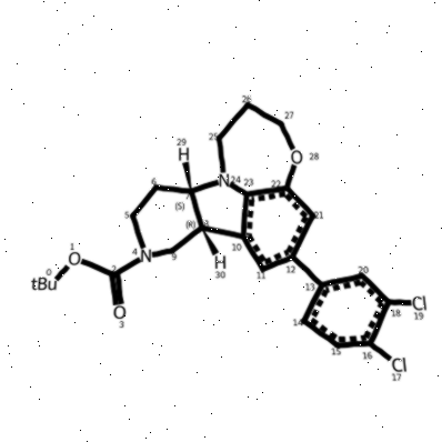 CC(C)(C)OC(=O)N1CC[C@H]2[C@@H](C1)c1cc(-c3ccc(Cl)c(Cl)c3)cc3c1N2CCCO3